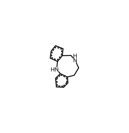 c1ccc2c(c1)CCNCc1ccccc1N2